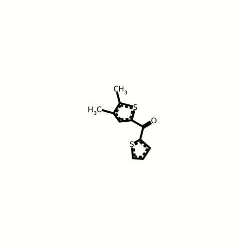 Cc1cc(C(=O)c2cccs2)sc1C